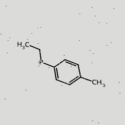 CC[P]c1ccc(C)cc1